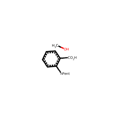 CCCCCc1ccccc1C(=O)O.CO